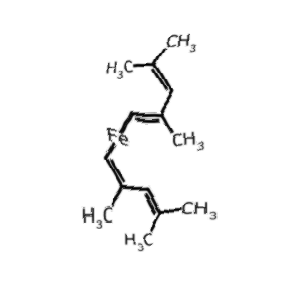 CC(C)=CC(C)=[CH][Fe][CH]=C(C)C=C(C)C